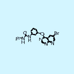 CC(C)NC(=O)Nc1cccc(Oc2ncnc3ncc(Br)cc23)c1